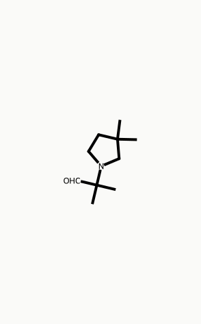 CC1(C)CCN(C(C)(C)C=O)C1